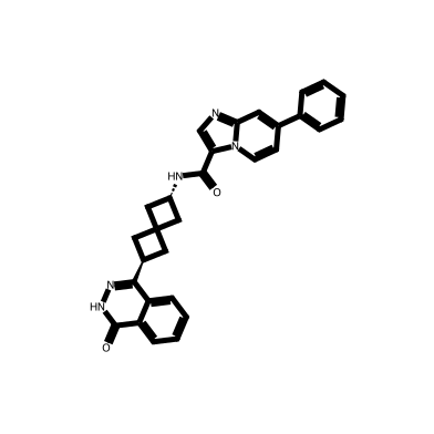 O=C(N[C@H]1CC2(C1)C[C@H](c1n[nH]c(=O)c3ccccc31)C2)c1cnc2cc(-c3ccccc3)ccn12